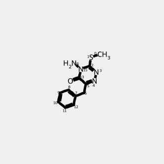 CSc1nnc(Cc2ccccc2)c(=O)n1N